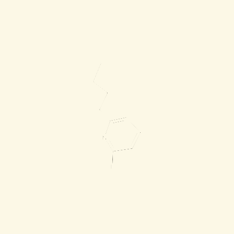 CCCCc1cccc(P)n1